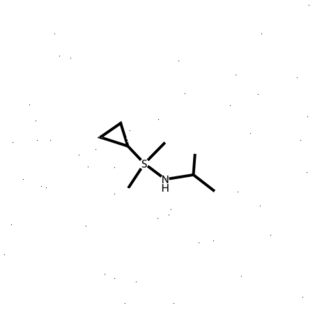 CC(C)NS(C)(C)C1CC1